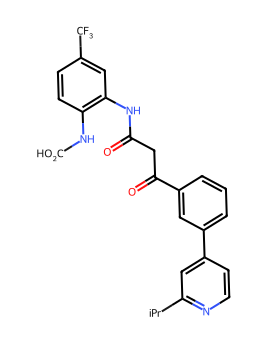 CC(C)c1cc(-c2cccc(C(=O)CC(=O)Nc3cc(C(F)(F)F)ccc3NC(=O)O)c2)ccn1